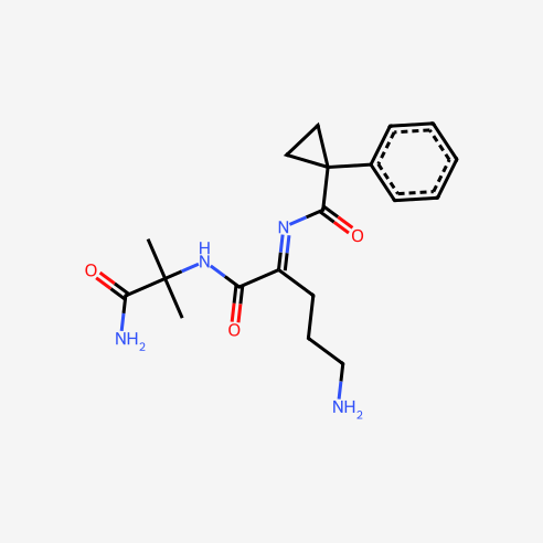 CC(C)(NC(=O)/C(CCCN)=N/C(=O)C1(c2ccccc2)CC1)C(N)=O